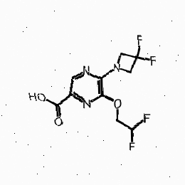 O=C(O)c1cnc(N2CC(F)(F)C2)c(OCC(F)F)n1